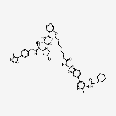 Cc1ncc(-c2ccc3nc(NC(=O)CCCCCCCOc4cnccc4C(=O)N[C@H](C(=O)N4C[C@H](O)C[C@H]4C(=O)NCc4ccc(-c5scnc5C)cc4)C(C)(C)C)sc3c2)cc1NC(=O)OC1CCCCC1